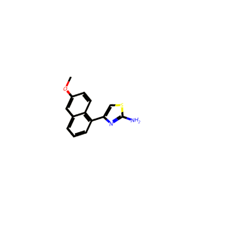 COc1ccc2c(-c3csc(N)n3)cccc2c1